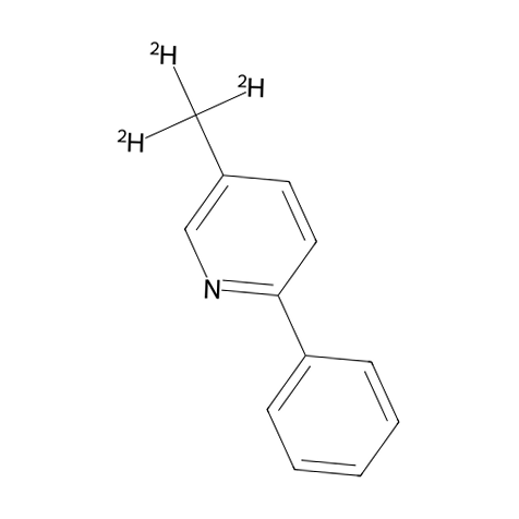 [2H]C([2H])([2H])c1ccc(-c2ccccc2)nc1